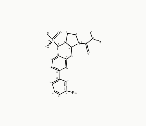 CC(C)C(=O)N1CCC(NS(C)(=O)=O)C1Cc1cccc(-c2cccc(F)c2)c1